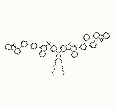 CCCCCCCCC1(CCCCCCCC)c2cc3c(cc2-c2cc4c(cc21)-c1c(cc(-c2ccc(-c5cccc(-c6cccc7c6oc6ccccc67)c5)c(-c5ccccc5)c2)c2ccccc12)C4(C)C)C(C)(C)c1cc(-c2ccc(-c4cccc(-c5cccc6c5oc5ccccc56)c4)cc2)c2ccccc2c1-3